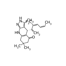 C=C(/C(=C\C=C/C)C(F)(F)F)[C@@H]1C2=C(CC(C)(C)CC2=O)Nc2n[nH]c(C)c21